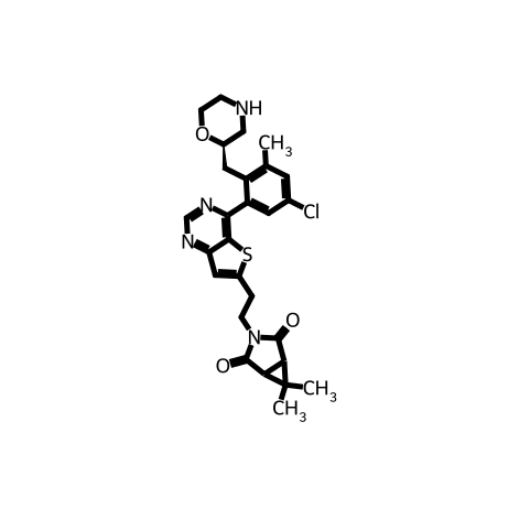 Cc1cc(Cl)cc(-c2ncnc3cc(CCN4C(=O)C5C(C4=O)C5(C)C)sc23)c1C[C@@H]1CNCCO1